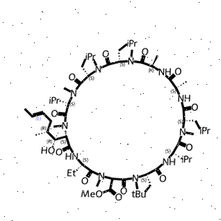 C/C=C/C[C@@H](C)[C@@H](O)[C@H]1C(=O)N[C@@H](CC)C(=O)N(C)C(C(=O)OC)C(=O)N(C)[C@@H](CC(C)(C)C)C(=O)N[C@@H](C(C)C)C(=O)N(C)[C@@H](CC(C)C)C(=O)N[C@@H](C)C(=O)N[C@H](C)C(=O)N(C)[C@@H](CC(C)C)C(=O)N(C)[C@@H](CC(C)C)C(=O)N(C)[C@@H](C(C)C)C(=O)N1C